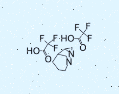 C1CC2CN(C1)N1CC21.O=C(O)C(F)(F)F.O=C(O)C(F)(F)F